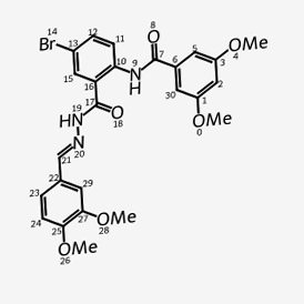 COc1cc(OC)cc(C(=O)Nc2ccc(Br)cc2C(=O)NN=Cc2ccc(OC)c(OC)c2)c1